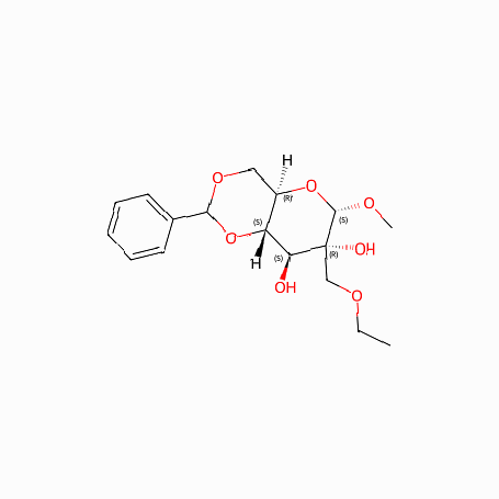 CCOC[C@]1(O)[C@@H](OC)O[C@@H]2COC(c3ccccc3)O[C@H]2[C@@H]1O